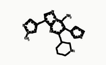 Cn1cc(-c2cnn3c(N)c(-c4ccsc4)c(C4CCCNC4)nc23)cn1